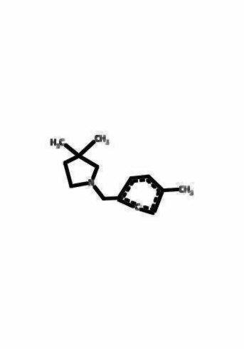 Cc1ccc(CN2CCC(C)(C)C2)cc1